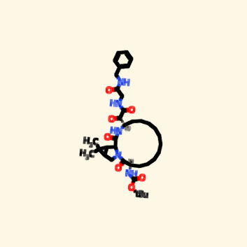 CC(C)(C)OC(=O)N[C@H]1CCCCCCCCCC[C@@H](C(=O)C(=O)NCC(=O)NCc2ccccc2)NC(=O)C2C3C(CN2C1=O)C3(C)C